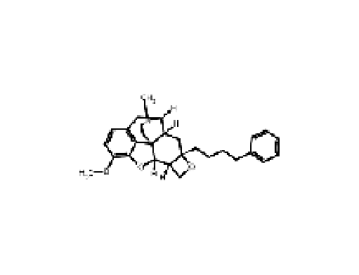 COc1ccc2c3c1O[C@H]1[C@H]4CO[C@@]4(CCCCc4ccccc4)C[C@H]4[C@@H](C2)N(C)CC[C@@]341